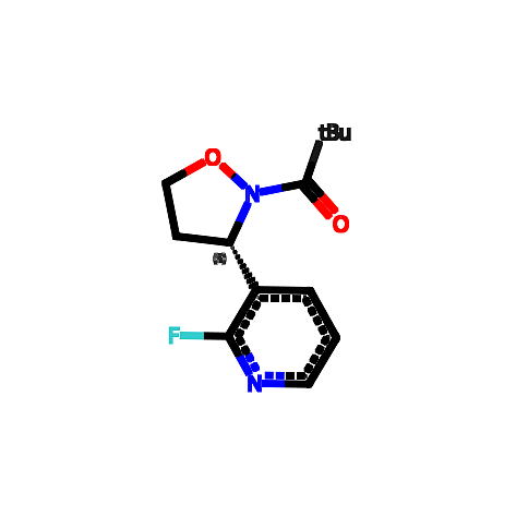 CC(C)(C)C(=O)N1OCC[C@H]1c1cccnc1F